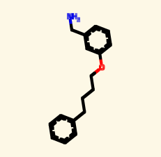 NCc1cccc(OCCCCc2ccccc2)c1